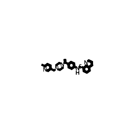 C=C(c1ccc(NSc2cccc3cccnc23)cc1)N1CCN(Cc2ccc(C)nc2)CC1